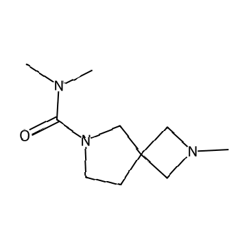 CN1CC2(CCN(C(=O)N(C)C)C2)C1